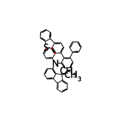 CC1(C)c2ccccc2-c2cccc(N(c3ccccc3)c3cccc(-c4ccccc4)c3-c3ccc4c(c3)sc3ccccc34)c21